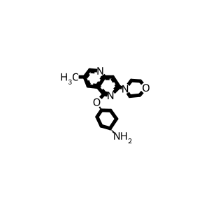 Cc1cnc2cc(N3CCOCC3)nc(O[C@H]3CC[C@@H](N)CC3)c2c1